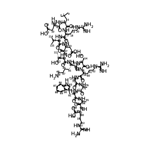 CC(C)C[C@H](NC(=O)[C@@H](N)CC(=O)O)C(=O)N[C@@H](CCCNC(=N)N)C(=O)N[C@H](C(=O)N[C@@H](CC(=O)O)C(=O)N[C@H](C(=O)N[C@@H](CCCCN)C(=O)N[C@@H](CO)C(=O)N[C@@H](CCCNC(=N)N)C(=O)N[C@@H](C)C(=O)N[C@@H](C)C(=O)N[C@@H](Cc1c[nH]c2ccccc12)C(=O)N[C@@H](C)C(=O)N[C@@H](CCCNC(=N)N)C(=O)O)[C@@H](C)O)C(C)C